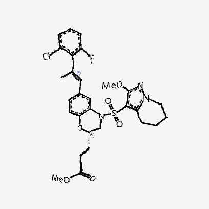 COC(=O)CC[C@H]1CN(S(=O)(=O)c2c(OC)nn3c2CCCC3)c2cc(/C=C(\C)c3c(F)cccc3Cl)ccc2O1